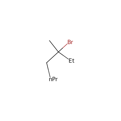 CCCCC(C)(Br)CC